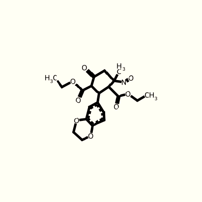 CCOC(=O)C1C(=O)CC(C)(N=O)C(C(=O)OCC)C1c1ccc2c(c1)OCCO2